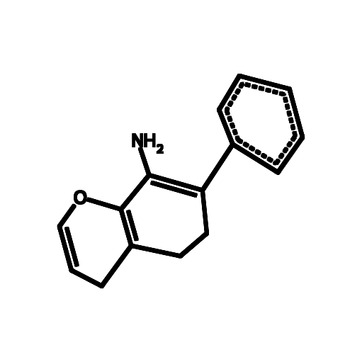 NC1=C(c2ccccc2)CCC2=C1OC=CC2